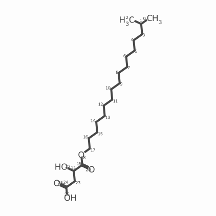 CC(C)CCCCCCCCCCCCCCCOC(=O)C(O)CC(=O)O